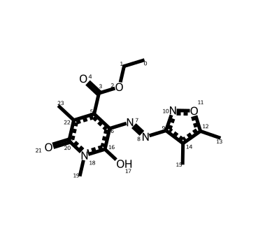 CCOC(=O)c1c(N=Nc2noc(C)c2C)c(O)n(C)c(=O)c1C